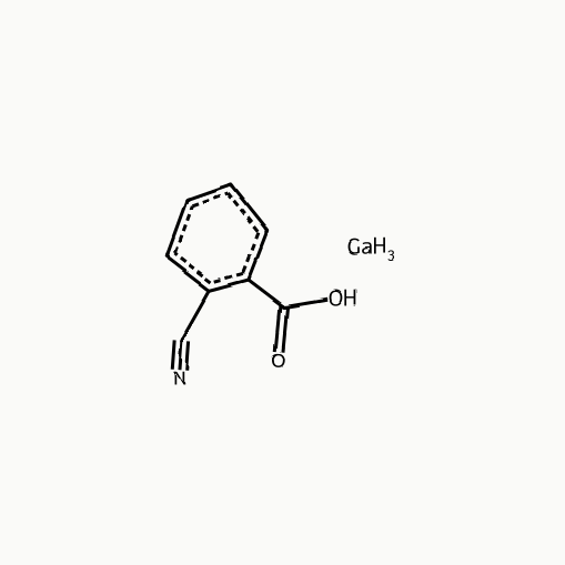 N#Cc1ccccc1C(=O)O.[GaH3]